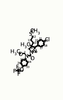 COCN(C(=O)N1CC(C)(CCCSC)C(c2ccc(Cl)cc2)=N1)c1ccc(OC(F)(F)F)cc1